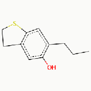 CCCc1cc2c(cc1O)CCS2